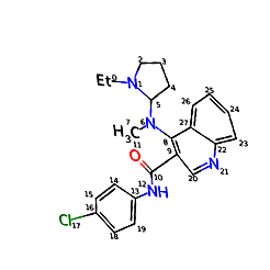 CCN1CCCC1N(C)c1c(C(=O)Nc2ccc(Cl)cc2)cnc2ccccc12